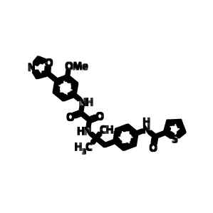 COc1cc(NC(=O)C(=O)NC(C)(C)Cc2ccc(NC(=O)c3cccs3)cc2)ccc1-c1cnco1